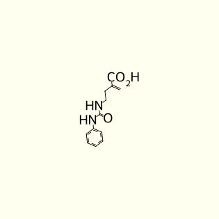 C=C(CCNC(=O)Nc1ccccc1)C(=O)O